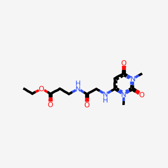 CCOC(=O)CCNC(=O)CNc1cc(=O)n(C)c(=O)n1C